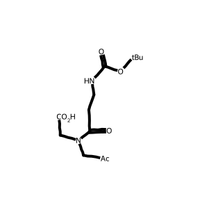 CC(=O)CN(CC(=O)O)C(=O)CCNC(=O)OC(C)(C)C